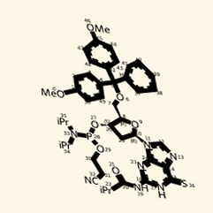 COc1ccc(C(OC[C@H]2O[C@@H](n3cnc4c(=S)[nH]c(NC(=O)C(C)C)nc43)C[C@@H]2OP(OCCC#N)N(C(C)C)C(C)C)(c2ccccc2)c2ccc(OC)cc2)cc1